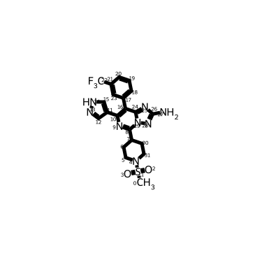 CS(=O)(=O)N1CCC(c2nc(-c3cn[nH]c3)c(-c3cccc(C(F)(F)F)c3)c3nc(N)nn23)CC1